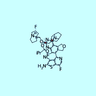 CC(C)C(=O)O[C@H](C)CN1CC2CCC(C1)N2c1nc(OC[C@@]23CCCN2C[C@H](F)C3)nc2c(F)c(-c3ncc(F)c4sc(N)c(C#N)c34)c3c(c12)COC3